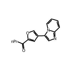 CCCC(=O)c1cc(-c2cnc3ccccn23)co1